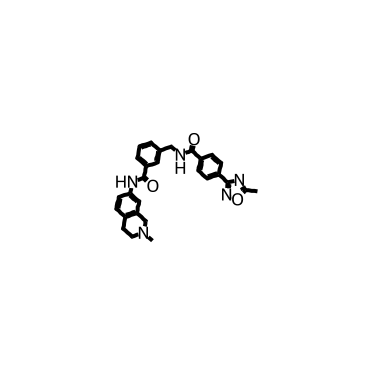 Cc1nc(-c2ccc(C(=O)NCc3cccc(C(=O)Nc4ccc5c(c4)CN(C)CC5)c3)cc2)no1